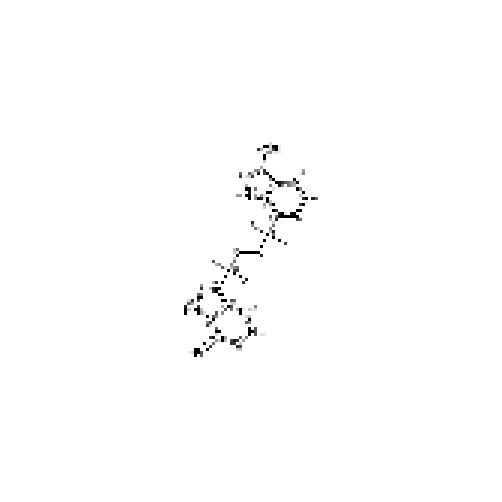 CC(C)(C)c1c[nH]c2c(C(C)(C)CCC(C)(C)c3c[nH]c4c(C(C)(C)C)cncc34)ccnc12